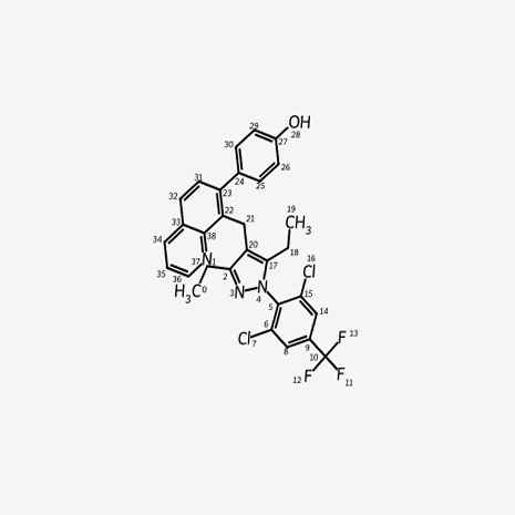 CCc1nn(-c2c(Cl)cc(C(F)(F)F)cc2Cl)c(CC)c1Cc1c(-c2ccc(O)cc2)ccc2cccnc12